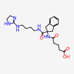 O=C(O)CCCC(=O)NC1(C(=O)NCCCCNC2=NCCN2)Cc2ccccc2C1